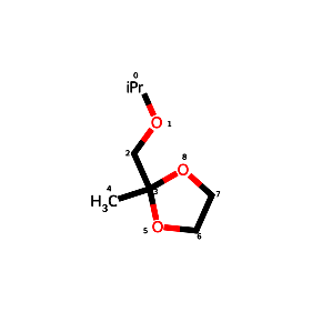 CC(C)OCC1(C)OCCO1